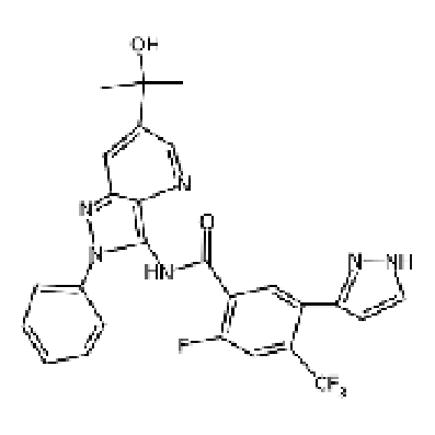 CC(C)(O)c1cnc2c(NC(=O)c3cc(-c4cc[nH]n4)c(C(F)(F)F)cc3F)n(-c3ccccc3)nc2c1